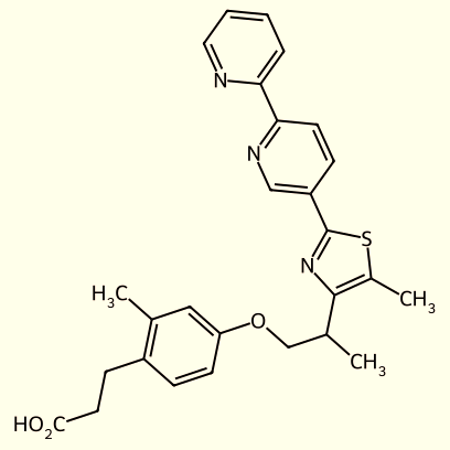 Cc1cc(OCC(C)c2nc(-c3ccc(-c4ccccn4)nc3)sc2C)ccc1CCC(=O)O